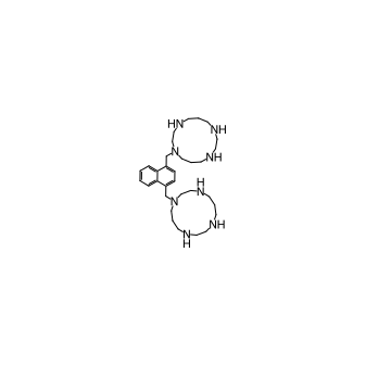 c1ccc2c(CN3CCCNCCNCCCNCC3)ccc(CN3CCCNCCNCCCNCC3)c2c1